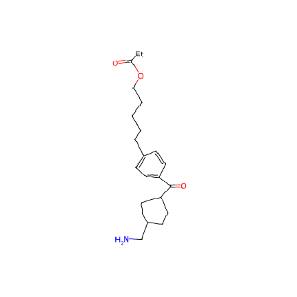 CCC(=O)OCCCCCc1ccc(C(=O)C2CCC(CN)CC2)cc1